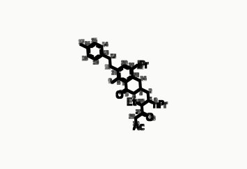 CCCC(CC1CC(=O)c2c(C)c(CCc3ccc(C)cc3)cc(C(C)C)c2C1)C(CC)C(=O)CC(C)=O